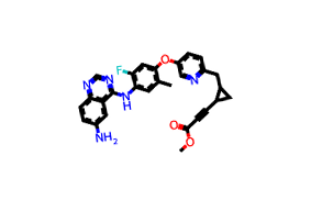 COC(=O)C#CC1CC1Cc1ccc(Oc2cc(F)c(Nc3ncnc4ccc(N)cc34)cc2C)cn1